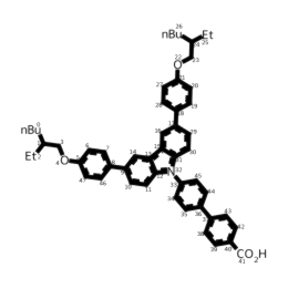 CCCCC(CC)COc1ccc(-c2ccc3c(c2)c2cc(-c4ccc(OCC(CC)CCCC)cc4)ccc2n3-c2ccc(-c3ccc(C(=O)O)cc3)cc2)cc1